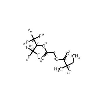 CCC(C)(F)C(=O)OCC(=O)OC(C(F)(F)F)C(F)(F)F